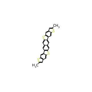 Cc1cc2cc3sc4cc5cc6c(cc5cc4c3cc2s1)sc1cc2cc(C)sc2cc16